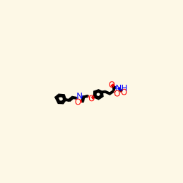 O=C1NC(=O)C(CCc2ccc(OCc3coc(/C=C/c4ccccc4)n3)cc2)O1